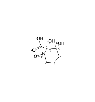 O=C(O)[C@@]1(O)[C@H](O)CCCN1O